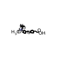 CO/N=C(\c1cccc(COc2ccc(CCC(=O)O)cc2)c1)c1nnco1